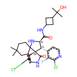 CC1(C)CCC2(CC1)N[C@@H](C(=O)NC1CC(C(C)(C)O)C1)[C@H](c1ccnc(Cl)c1F)[C@]21C(=O)Nc2cc(Cl)ccc21